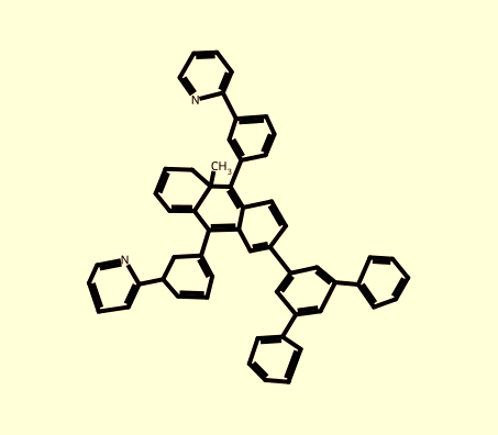 CC12CC=CC=C1C(C1=CC=CC(c3ccccn3)C1)=c1cc(-c3cc(-c4ccccc4)cc(-c4ccccc4)c3)ccc1=C2c1cccc(-c2ccccn2)c1